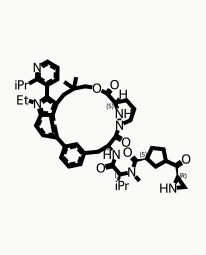 CCn1c(-c2cccnc2C(C)C)c2c3cc(ccc31)-c1cccc(c1)C[C@H](NC(=O)[C@H](C(C)C)N(C)C(=O)[C@H]1CCC(C(=O)[C@H]3CN3)C1)C(=O)N1CCC[C@H](N1)C(=O)OCC(C)(C)C2